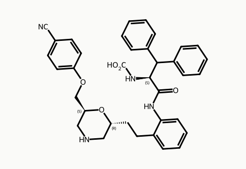 N#Cc1ccc(OC[C@@H]2CNC[C@@H](CCc3ccccc3NC(=O)[C@@H](NC(=O)O)C(c3ccccc3)c3ccccc3)O2)cc1